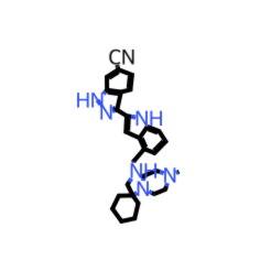 CN1CCN(C2(CNCc3cccc4[nH]c(-c5n[nH]c6cc(C#N)ccc56)cc34)CCCCC2)CC1